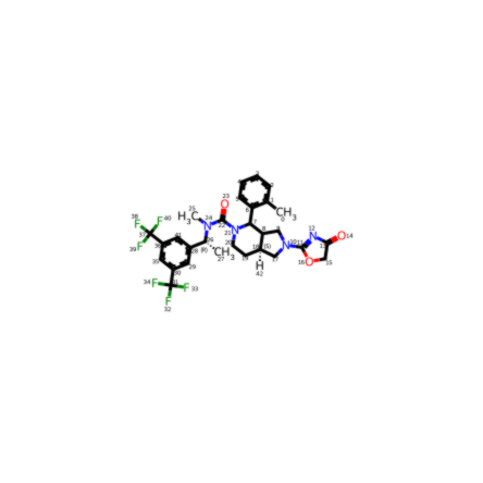 Cc1ccccc1C1C2CN(C3=NC(=O)CO3)C[C@H]2CCN1C(=O)N(C)[C@H](C)c1cc(C(F)(F)F)cc(C(F)(F)F)c1